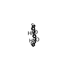 O=C(NCC1CCCO1)c1ccc(NC(=O)N2CCc3sccc3C2)cc1